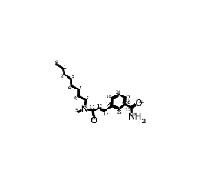 CCCCCCCCN(C)C(=O)C=Cc1cccc(C(N)=O)c1